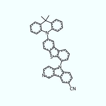 CC1(C)c2ccccc2N(c2ccc3sc4c(-n5c6ccncc6c6cc(C#N)ccc65)cccc4c3c2)c2ccccc21